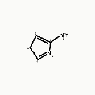 CCCC1=CCC=N1